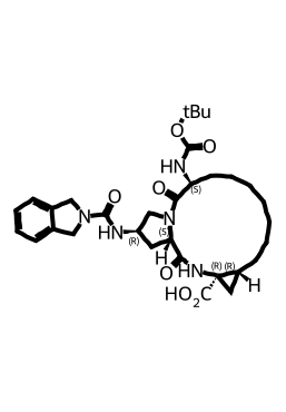 CC(C)(C)OC(=O)N[C@H]1CCCCCCC[C@@H]2C[C@@]2(C(=O)O)NC(=O)[C@@H]2C[C@@H](NC(=O)N3Cc4ccccc4C3)CN2C1=O